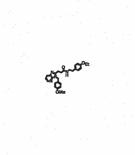 CCOc1ccc(CCNC(=O)CCc2nc3cccnc3n2Cc2ccc(OC)cc2)cc1